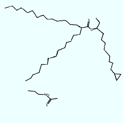 CCCCCCCCCCCCCCC(CCCCCCCCCCCCCC)C(=S)OC(CC)CCCCCCCCC1CC1.CCCNC(C)=S